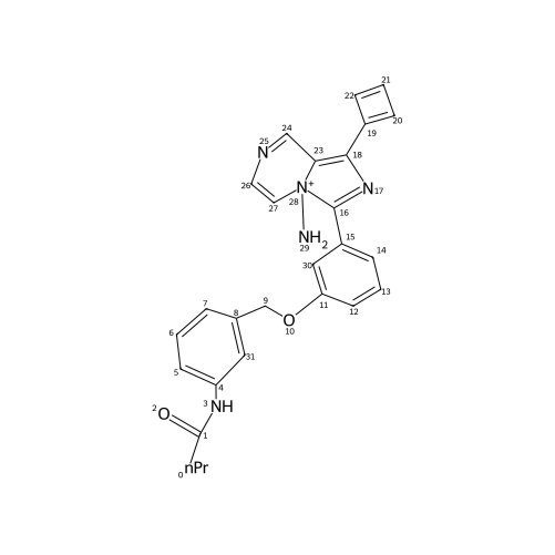 CCCC(=O)Nc1cccc(COc2cccc(C3=NC(C4=CC=C4)=C4C=NC=C[N+]34N)c2)c1